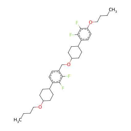 CCCCOc1ccc(C2CCC(OCc3ccc(C4CCC(OCCCC)CC4)c(F)c3F)CC2)c(F)c1F